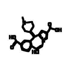 CN1CCC(=C2c3cc(C(=O)O)ccc3C=Cn3cc(C(=O)O)cc32)CC1.Cl